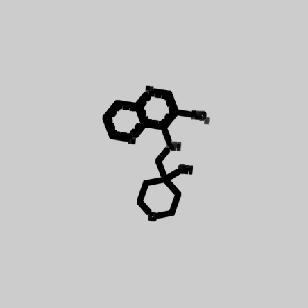 O=[N+]([O-])c1cnc2cccnc2c1NCC1(O)CCOCC1